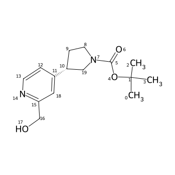 CC(C)(C)OC(=O)N1CC[C@@H](c2ccnc(CO)c2)C1